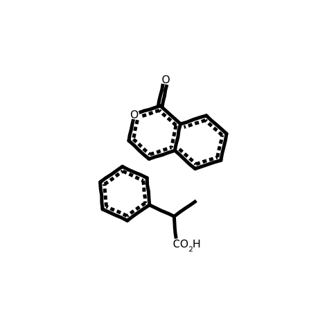 CC(C(=O)O)c1ccccc1.O=c1occc2ccccc12